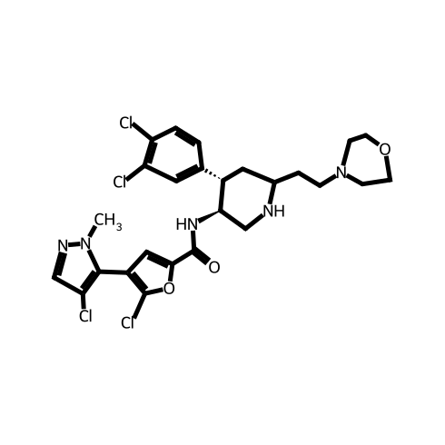 Cn1ncc(Cl)c1-c1cc(C(=O)N[C@@H]2CNC(CCN3CCOCC3)C[C@H]2c2ccc(Cl)c(Cl)c2)oc1Cl